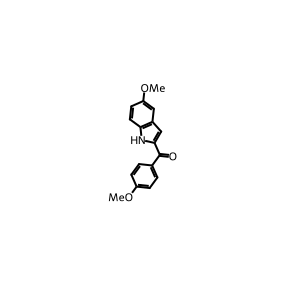 COc1ccc(C(=O)c2cc3cc(OC)ccc3[nH]2)cc1